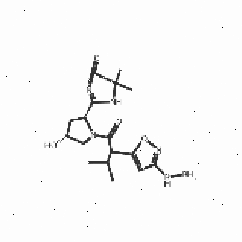 BBc1cc(C(C(=O)N2C[C@H](O)C[C@H]2C2=NC(=O)C(C)(C)N2)C(C)C)on1